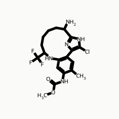 COC(=O)Nc1cc2c(cc1C)-c1nc([nH]c1Cl)C(N)CCCCC(C(F)(F)F)N2